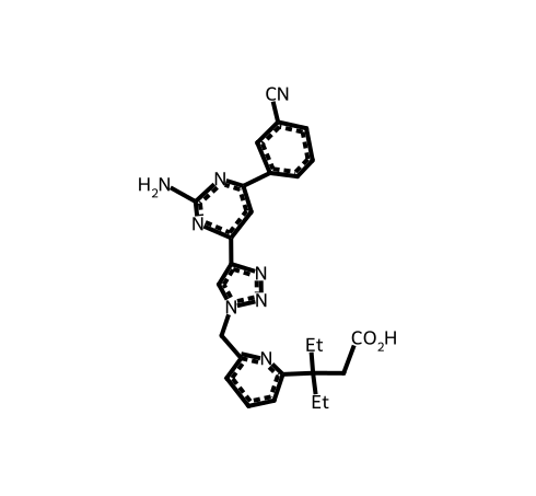 CCC(CC)(CC(=O)O)c1cccc(Cn2cc(-c3cc(-c4cccc(C#N)c4)nc(N)n3)nn2)n1